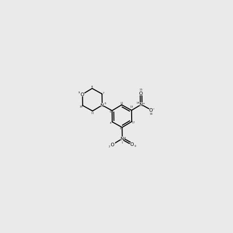 O=[N+]([O-])c1cc(N2CCOCC2)cc([N+](=O)[O-])c1